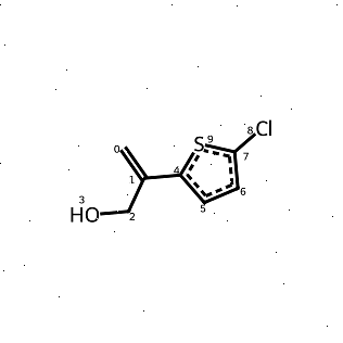 C=C(CO)c1ccc(Cl)s1